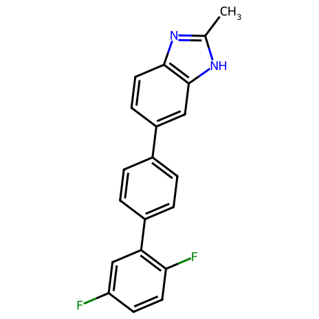 Cc1nc2ccc(-c3ccc(-c4cc(F)ccc4F)cc3)cc2[nH]1